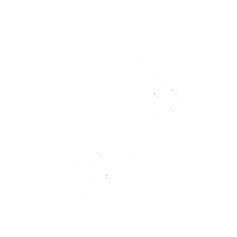 c1ccc(-c2nc(-c3ccccc3)nc(-c3ccc(-c4ccc(-c5nc(-c6ccccc6)c(-c6ccccc6)nc5-c5ccccc5)cc4)cc3)n2)cc1